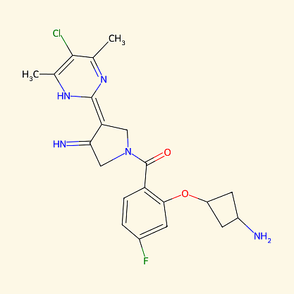 CC1=N/C(=C2\CN(C(=O)c3ccc(F)cc3OC3CC(N)C3)CC2=N)NC(C)=C1Cl